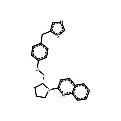 c1ccc2nc(N3CCC[C@@H]3COc3ccc(Cc4cncs4)cc3)ccc2c1